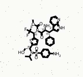 COC(=O)N(C(=O)[C@@H](N)[C@@H](c1ccccc1)c1c[nH]c2ncccc12)[C@H](c1ccc([C@@H](CO)N(C(C)C)S(=O)(=O)c2ccc(N)cc2)s1)C(F)(F)F